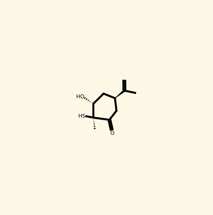 C=C(C)[C@H]1CC(=O)[C@@](C)(S)[C@H](O)C1